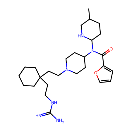 CC1CCC(N(C(=O)c2ccco2)C2CCN(CCC3(CCNC(=N)N)CCCCC3)CC2)NC1